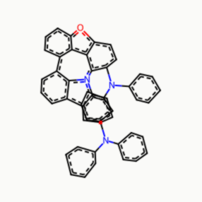 c1ccc(N(c2ccccc2)c2ccc3c(c2)c2cccc4c5cccc6oc7ccc(N(c8ccccc8)c8ccccc8)c(c7c65)n3c42)cc1